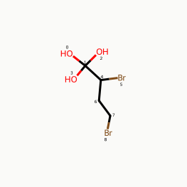 OC(O)(O)C(Br)CCBr